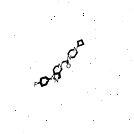 O=C(CN1CCc2c(cnn2-c2ccc(F)cc2)C1)N1CCN(C2CCC2)CC1